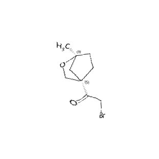 C[C@@]12CC[C@@](C(=O)CBr)(CO1)C2